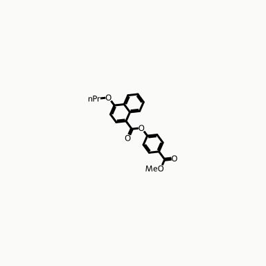 CCCOc1ccc(C(=O)Oc2ccc(C(=O)OC)cc2)c2ccccc12